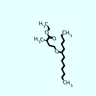 CCCCCCCC(CCCCC)OCC[C@@H](C)C(=O)OCC